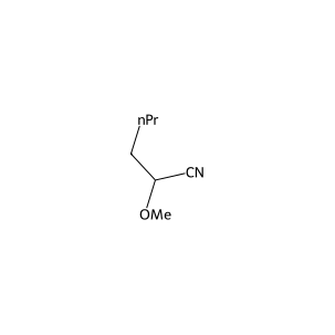 [CH2]OC(C#N)CCCC